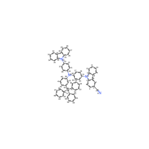 N#Cc1ccc2c(c1)c1ccccc1n2-c1ccc(N(c2ccc(-n3c4ccccc4c4ccccc43)cc2)c2cccc([Si](c3ccccc3)(c3ccccc3)c3ccccc3)c2)cc1